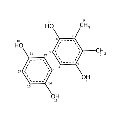 Cc1c(O)ccc(O)c1C.Oc1ccc(O)cc1